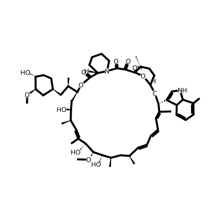 CO[C@H]1[C@@H](O)[C@H](C)C[C@H](C)/C=C/C=C/C=C(\C)[C@@H](C2=CNC3C(C)=CC=CC23)C[C@@H]2CC[C@@H](C)[C@@](O)(O2)C(=O)C(=O)N2CCCC[C@H]2C(=O)O[C@H]([C@H](C)C[C@@H]2CC[C@@H](O)[C@H](OC)C2)C[C@H](O)[C@H](C)/C=C(\C)[C@H]1O